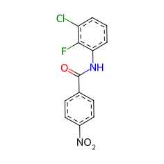 O=C(Nc1cccc(Cl)c1F)c1ccc([N+](=O)[O-])cc1